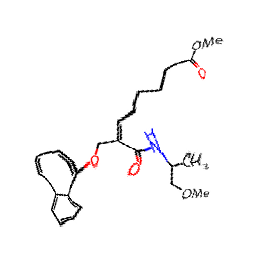 COCC(C)NC(=O)C(=CCCCCC(=O)OC)COc1cccc2ccccc12